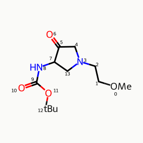 COCCN1CC(=O)C(NC(=O)OC(C)(C)C)C1